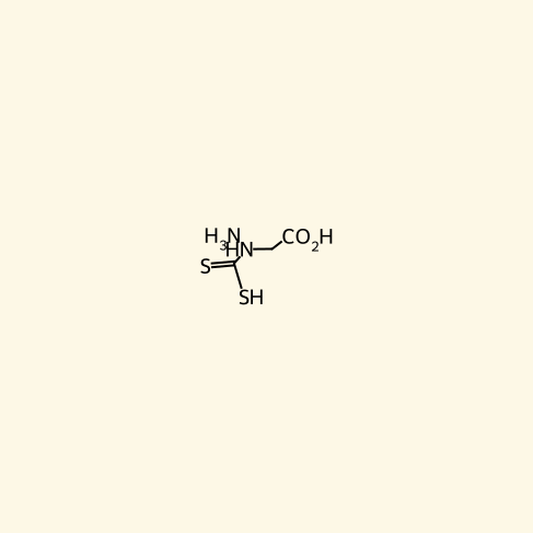 N.O=C(O)CNC(=S)S